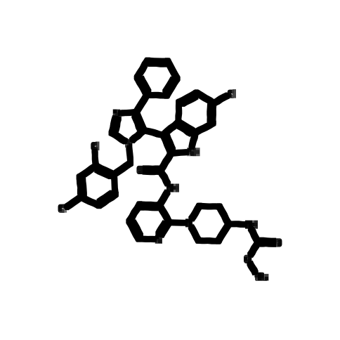 CC(C)(C)OC(=O)NC1CCN(c2ncccc2NC(=O)c2[nH]c3cc(Cl)ccc3c2-c2c(-c3ccccc3)ncn2Cc2ccc(Cl)cc2Cl)CC1